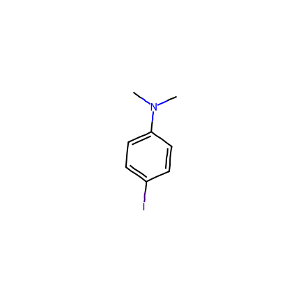 CN(C)c1ccc(I)cc1